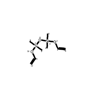 C=CO[Si](C)(C)O[Si](C)(C)OC=C